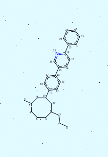 CCCC1CCCC(C)CC(c2ccc(-c3ccc(-c4ccccc4)nc3)cc2)C1